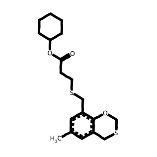 Cc1cc(CSCCC(=O)OC2CCCCC2)c2c(c1)CSCO2